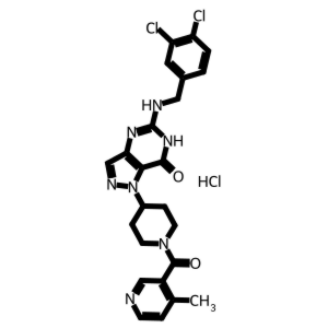 Cc1ccncc1C(=O)N1CCC(n2ncc3nc(NCc4ccc(Cl)c(Cl)c4)[nH]c(=O)c32)CC1.Cl